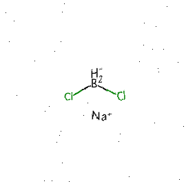 Cl[BH2-]Cl.[Na+]